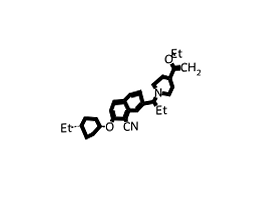 C=C(OCC)C1CCN(C(CC)c2ccc3ccc(O[C@H]4CC[C@@H](CC)CC4)c(C#N)c3c2)CC1